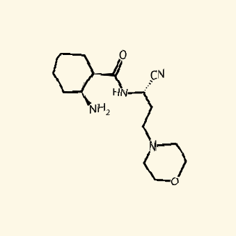 N#C[C@H](CCN1CCOCC1)NC(=O)[C@@H]1CCCC[C@@H]1N